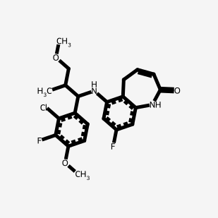 COCC(C)C(Nc1cc(F)cc2c1CC=CC(=O)N2)c1ccc(OC)c(F)c1Cl